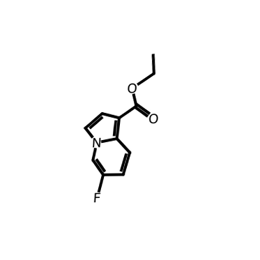 CCOC(=O)c1ccn2cc(F)ccc12